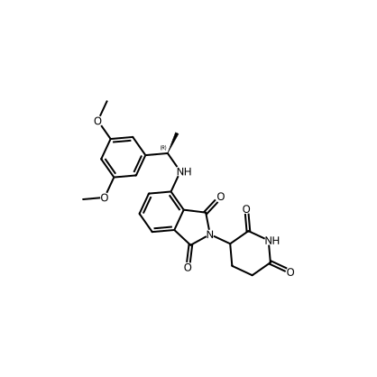 COc1cc(OC)cc([C@@H](C)Nc2cccc3c2C(=O)N(C2CCC(=O)NC2=O)C3=O)c1